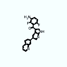 Nc1ccc(F)c(C(=O)c2c[nH]c3ncc(-c4ccc5cccnc5c4)cc23)c1F